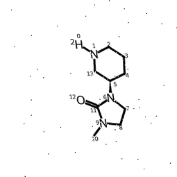 [2H]N1CCC[C@@H](N2CCN(C)C2=O)C1